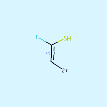 CC/C=C(/F)S